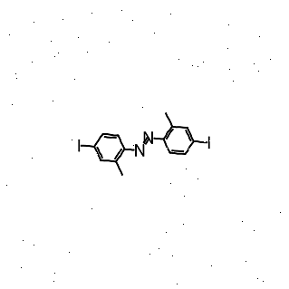 Cc1cc(I)ccc1N=Nc1ccc(I)cc1C